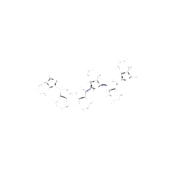 Cc1sc(C2S/C(=c3/s/c(=C4/SC(C5SC(c6sc(C)c7c6OCCO7)C6=C5OCCO6)C5=C4OCCO5)c4c3OCCO4)C3=C2OCCO3)c2c1OCCO2